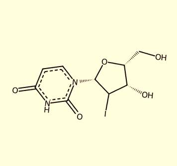 O=c1ccn([C@@H]2O[C@H](CO)[C@H](O)C2I)c(=O)[nH]1